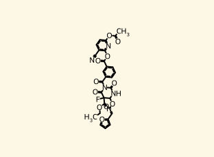 CCOC(=O)C1(F)C(=O)N(C(=O)c2cccc(C(=O)Oc3nc(OC(C)=O)ccc3C#N)c2)C(=O)NC1ON=Cc1ccco1